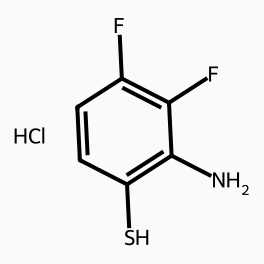 Cl.Nc1c(S)ccc(F)c1F